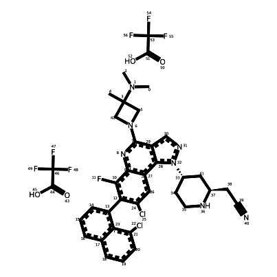 CN(C)C1(C)CN(c2nc3c(F)c(-c4cccc5cccc(Cl)c45)c(Cl)cc3c3c2cnn3[C@H]2CCN[C@H](CC#N)C2)C1.O=C(O)C(F)(F)F.O=C(O)C(F)(F)F